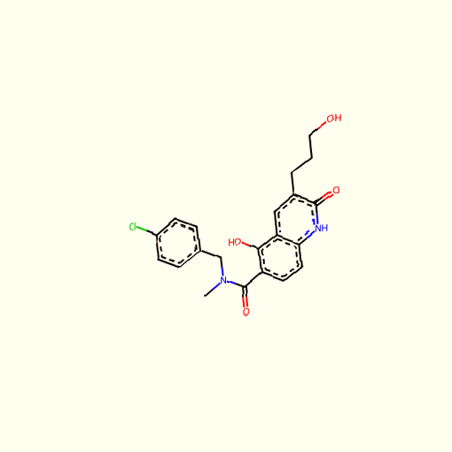 CN(Cc1ccc(Cl)cc1)C(=O)c1ccc2[nH]c(=O)c(CCCO)cc2c1O